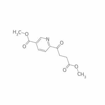 COC(=O)CCC(=O)c1ccc(C(=O)OC)cn1